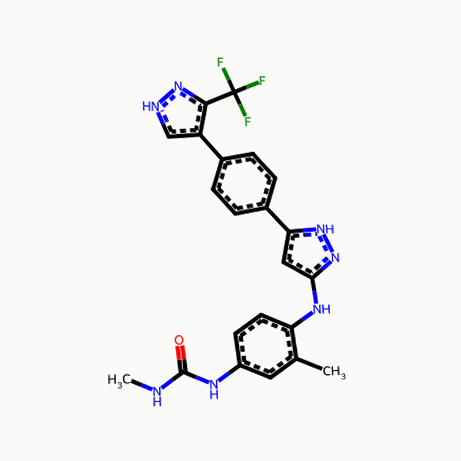 CNC(=O)Nc1ccc(Nc2cc(-c3ccc(-c4c[nH]nc4C(F)(F)F)cc3)[nH]n2)c(C)c1